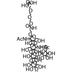 CC(=O)NC1[C@H](OCCNC(=O)OCCOCCOCCP(=O)(O)O)OC(CO)[C@@H](O[C@@H]2OC(CO)[C@@H](O[C@@H]3OC(CO[C@H]4OC(CO)[C@@H](O)[C@H](O)C4O)[C@@H](O)[C@H](O[C@H]4O[C@@H](CO)[C@@H](O)C(O)C4O)C3O)[C@H](O)C2NC(C)=O)[C@@H]1O